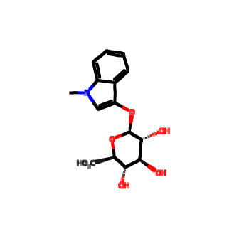 Cn1cc(O[C@@H]2O[C@H](C(=O)O)[C@@H](O)[C@H](O)[C@H]2O)c2ccccc21